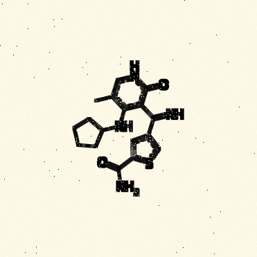 Cc1c[nH]c(=O)c(C(=N)c2csc(C(N)=O)c2)c1NC1CCCC1